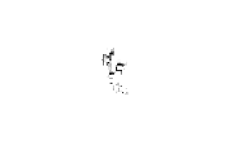 CC(=O)N1CCC(C(=O)N2CC(CNc3cc(C(F)(F)F)ncn3)C(c3ccc(Cl)c(Cl)c3)C2)CC1